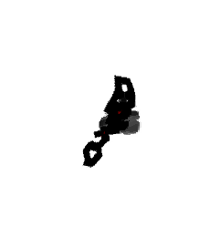 CC(C)(C)OC(=O)N1C2CCC1CN(C(=O)OCc1ccccc1)C2